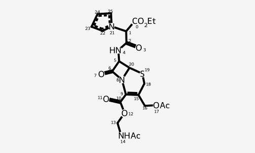 CCOC(=O)C(C(=O)NC1C(=O)N2C(C(=O)OCNC(C)=O)=C(COC(C)=O)CSC12)n1cccc1